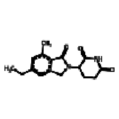 CCc1cc(C)c2c(c1)CN(C1CCC(=O)NC1=O)C2=O